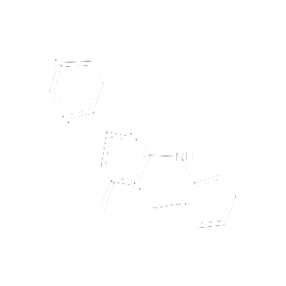 O=c1cc(-c2ccncn2)nc2n1Cc1ccccc1N2